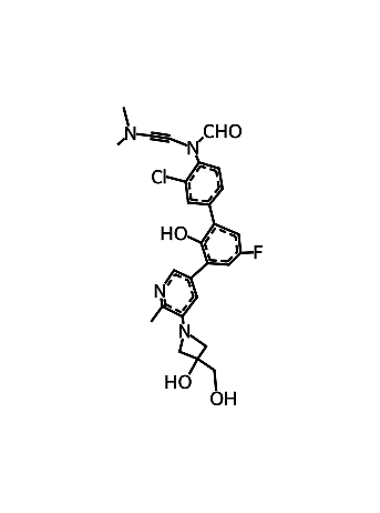 Cc1ncc(-c2cc(F)cc(-c3ccc(N(C#CN(C)C)C=O)c(Cl)c3)c2O)cc1N1CC(O)(CO)C1